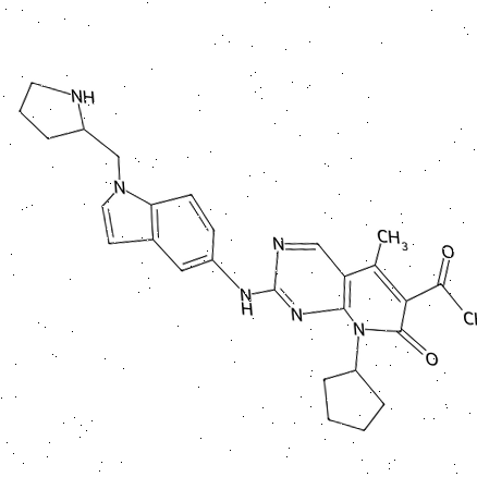 CC(=O)c1c(C)c2cnc(Nc3ccc4c(ccn4CC4CCCN4)c3)nc2n(C2CCCC2)c1=O